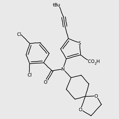 CC(C)(C)C#Cc1cc(N(C(=O)c2ccc(Cl)cc2Cl)C2CCC3(CC2)OCCO3)c(C(=O)O)s1